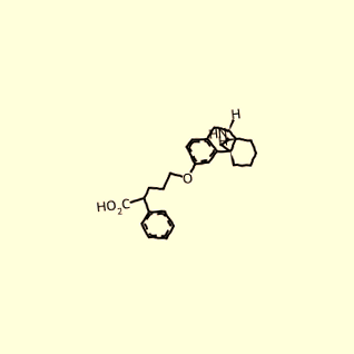 O=C(O)C(CCCOc1ccc2c(c1)[C@@]13CCCC[C@H]1[C@@H](C2)NCC3)c1ccccc1